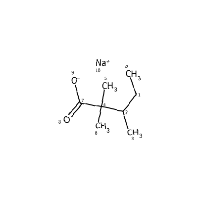 CCC(C)C(C)(C)C(=O)[O-].[Na+]